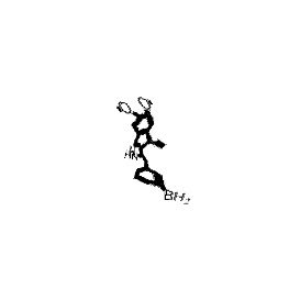 Bc1cccc(Cc2[nH]nc3c2[C@H](CC)c2cc(OC)c(OC)cc2-3)c1